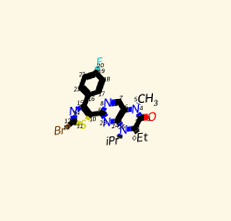 CCC1C(=O)N(C)c2cnc(-c3sc(Br)nc3-c3ccc(F)cc3)nc2N1C(C)C